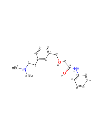 CCCCN(CCCC)CCc1cccc(COCC(=O)Nc2ccccc2)c1